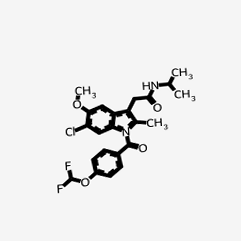 COc1cc2c(CC(=O)NC(C)C)c(C)n(C(=O)c3ccc(OC(F)F)cc3)c2cc1Cl